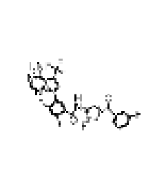 Cc1cc(F)c(-c2cc(C(F)(F)F)c3c(N)ncnn23)cc1C(=O)N[C@@H]1CN(C(=O)c2cccc(F)c2)C[C@@H]1F